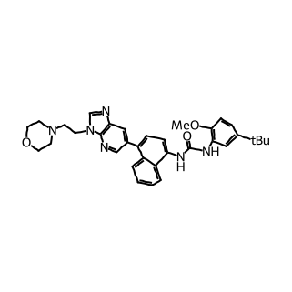 COc1ccc(C(C)(C)C)cc1NC(=O)Nc1ccc(-c2cnc3c(c2)ncn3CCN2CCOCC2)c2ccccc12